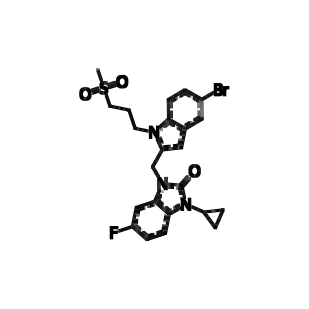 CS(=O)(=O)CCCn1c(Cn2c(=O)n(C3CC3)c3ccc(F)cc32)cc2cc(Br)ccc21